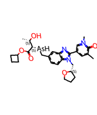 Cc1cc(-c2nc3cc(C[AsH][C@H](C(=O)OC4CCC4)[C@H](C)O)ccc3n2C[C@@H]2CCCO2)cn(C)c1=O